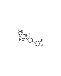 Cc1cnc(NC(O)c2ccc(-c3ccc(F)c(F)c3)cc2F)s1